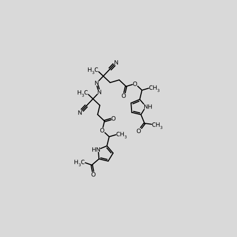 CC(=O)c1ccc(C(C)OC(=O)CCC(C)(C#N)N=NC(C)(C#N)CCC(=O)OC(C)c2ccc(C(C)=O)[nH]2)[nH]1